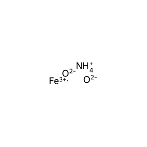 [Fe+3].[NH4+].[O-2].[O-2]